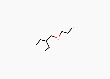 [CH2]CCOCC(CC)CC